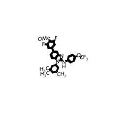 COc1c(F)cc(-c2ccc3c(c2)nc(Nc2ccc(OC(F)(F)F)cc2)n3C2CC(C)CC(C)(C)C2)cc1F